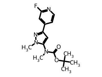 CN(C(=O)OC(C)(C)C)c1cc(-c2ccnc(F)c2)nn1C